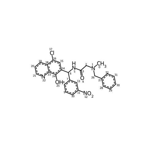 CN(CC(=O)NC(c1cccc([N+](=O)[O-])c1)c1cc(Cl)c2cccnc2c1O)Cc1ccccc1